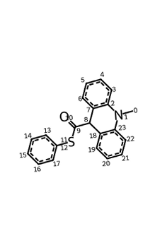 CN1c2ccccc2C(C(=O)Sc2ccccc2)c2ccccc21